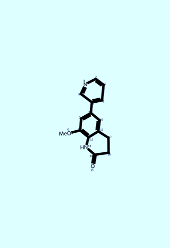 COc1cc(-c2cccnc2)cc2c1NC(=O)CC2